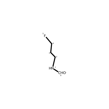 O=[C]NCCCF